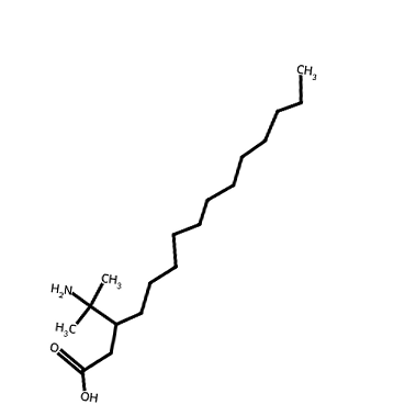 CCCCCCCCCCCCC(CC(=O)O)C(C)(C)N